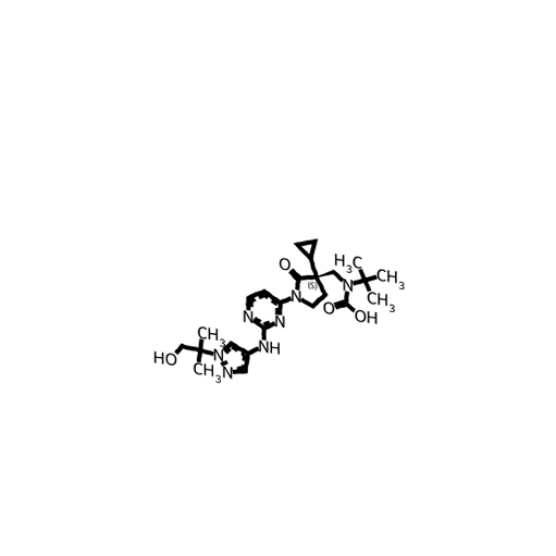 CC(C)(C)N(C[C@@]1(C2CC2)CCN(c2ccnc(Nc3cnn(C(C)(C)CO)c3)n2)C1=O)C(=O)O